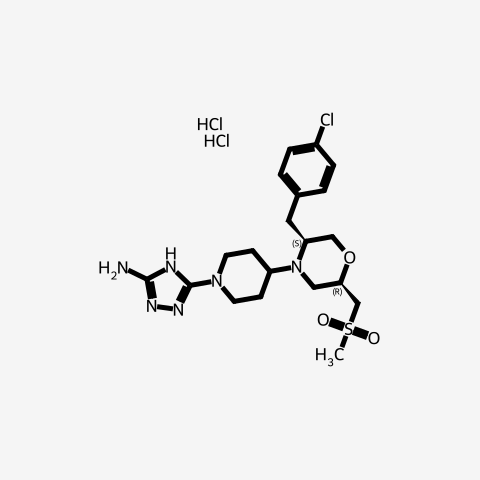 CS(=O)(=O)C[C@H]1CN(C2CCN(c3nnc(N)[nH]3)CC2)[C@@H](Cc2ccc(Cl)cc2)CO1.Cl.Cl